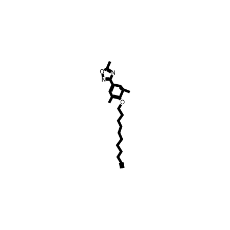 C#CCCCCCCCCCOc1c(C)cc(-c2noc(C)n2)cc1C